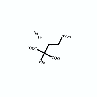 CCCCCCCCCCCC(C(=O)[O-])(C(=O)[O-])C(C)(C)C.[Li+].[Na+]